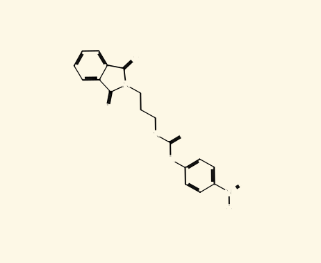 O=C(NCCCN1C(=O)c2ccccc2C1=O)Oc1ccc([N+](=O)[O-])cc1